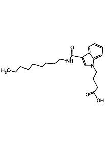 CCCCCCCCCNC(=O)c1cn(CCCC(=O)O)c2ccccc12